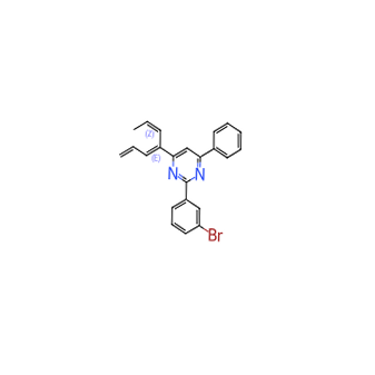 C=C/C=C(\C=C/C)c1cc(-c2ccccc2)nc(-c2cccc(Br)c2)n1